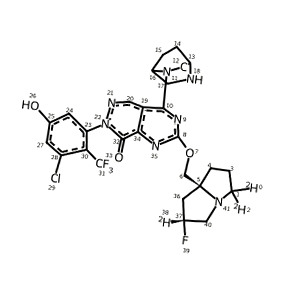 [2H]C1([2H])CC[C@@]2(COc3nc(N4CC5CCC4CN5)c4cnn(-c5cc(O)cc(Cl)c5C(F)(F)F)c(=O)c4n3)C[C@@]([2H])(F)CN12